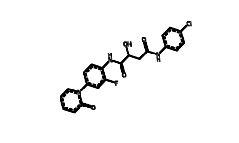 O=C(CC(O)C(=O)Nc1ccc(-n2ccccc2=O)cc1F)Nc1ccc(Cl)cc1